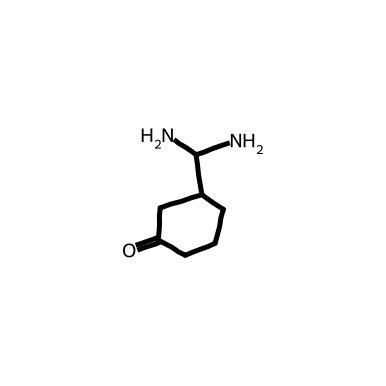 NC(N)C1CCCC(=O)C1